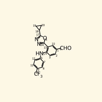 O=Cc1ccc(Nc2ccc(C(F)(F)F)cc2)c(-c2nnc(C3CC3)o2)c1